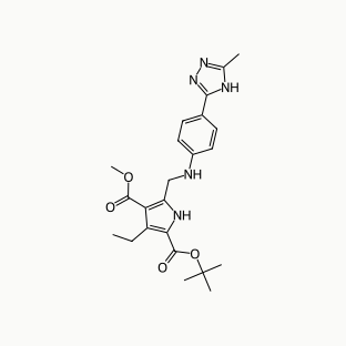 CCc1c(C(=O)OC(C)(C)C)[nH]c(CNc2ccc(-c3nnc(C)[nH]3)cc2)c1C(=O)OC